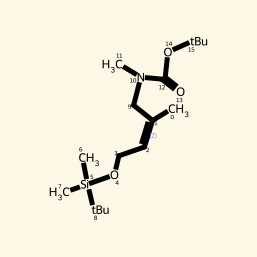 C/C(=C/CO[Si](C)(C)C(C)(C)C)CN(C)C(=O)OC(C)(C)C